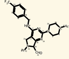 CC(=O)N1CCN(c2nc(NCc3ccc(C(F)(F)F)cc3)c3c(n2)C(C=O)N(C(C)C)C3)CC1